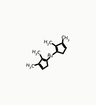 CC1=CC[C]([Ru][C]2=C(C)C(C)=CC2)=C1C